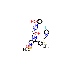 CS(=O)(=O)N1CCc2c(c(-c3ccc(C(F)(F)F)c(SCCN4CCC(F)CC4)c3)nn2CC(O)CN2CCN(c3ccccc3O)CC2)C1